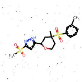 CC1(S(=O)(=O)c2cccc(C(F)(F)F)c2)CCOC(c2cc(S(=O)(=O)C(F)(F)F)n[nH]2)C1